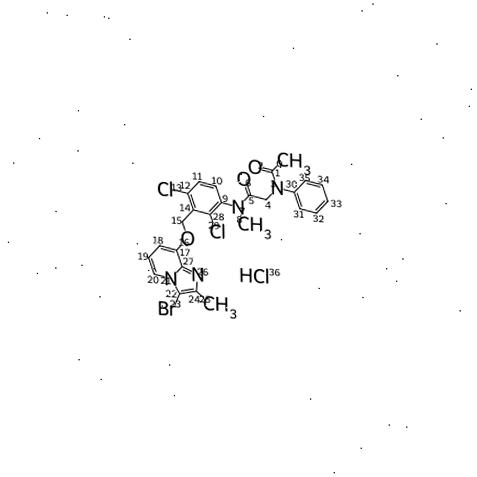 CC(=O)N(CC(=O)N(C)c1ccc(Cl)c(COc2cccn3c(Br)c(C)nc23)c1Cl)c1ccccc1.Cl